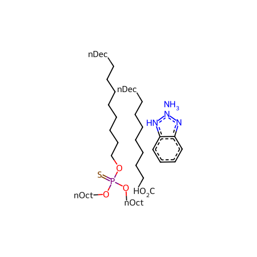 CCCCCCCCCCCCCCCCCC(=O)O.CCCCCCCCCCCCCCCCCCOP(=S)(OCCCCCCCC)OCCCCCCCC.N.c1ccc2[nH]nnc2c1